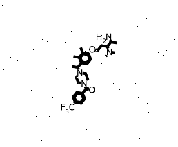 Cc1c(OCCC(C(C)N)N(C)C)ccc(C(C)N2CCN(C(=O)c3ccc(C(F)(F)F)cc3)CC2)c1C